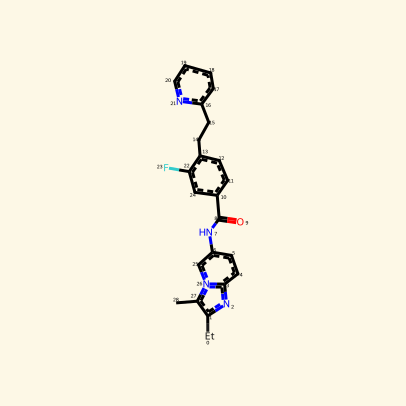 CCc1nc2ccc(NC(=O)c3ccc(CCc4ccccn4)c(F)c3)cn2c1C